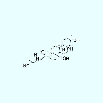 C=NN(/C=C(\C)C#N)CC(=O)[C@H]1CC[C@H]2[C@@H]3[C@H](O)C[C@H]4C[C@](C)(O)CC[C@]4(C)[C@H]3CC[C@]12C